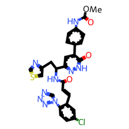 COC(=O)Nc1ccc(-c2cc(C(Cc3cscn3)NC(=O)C=Cc3cc(Cl)ccc3-n3cnnn3)n[nH]c2=O)cc1